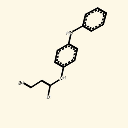 CCC(C)CCC(CC)Nc1ccc(Nc2ccccc2)cc1